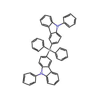 c1ccc(-n2c3ccccc3c3cc([Si](c4ccccc4)(c4ccccc4)c4ccc5c(c4)c4ccccc4n5-c4ccccc4)ccc32)cc1